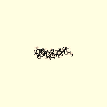 CC(O)c1ccc(N2CCC3(CCN(S(=O)(=O)c4ccccc4Cl)CC3)C2=O)cc1